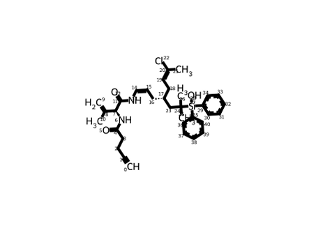 C#CCCC(=O)N[C@@H](C(=C)C)C(=O)N/C=C\C[C@H](C/C=C(\C)Cl)CC(C)(C)[Si](O)(c1ccccc1)c1ccccc1